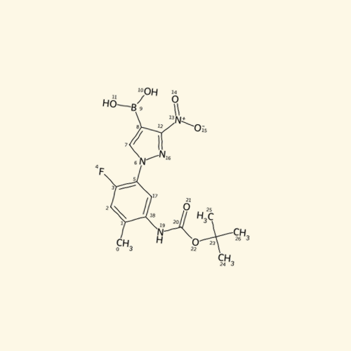 Cc1cc(F)c(-n2cc(B(O)O)c([N+](=O)[O-])n2)cc1NC(=O)OC(C)(C)C